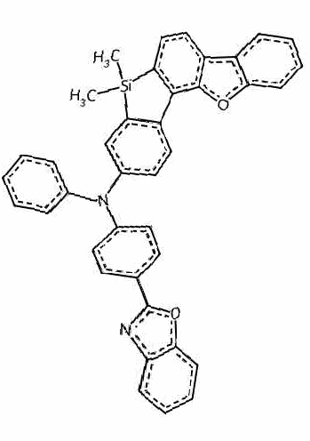 C[Si]1(C)c2cc(N(c3ccccc3)c3ccc(-c4nc5ccccc5o4)cc3)ccc2-c2c1ccc1c2oc2ccccc21